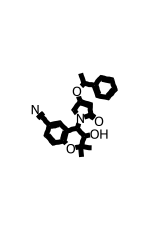 CC(OC1=CC(=O)N(C2c3cc(C#N)ccc3OC(C)(C)C2O)C1)c1ccccc1